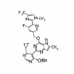 COc1ncnc(C2CC2)c1-c1nc(OCc2cnc(-c3nc(C(F)(F)F)cn3C)c(F)c2)c2[nH]c(C)cc2n1